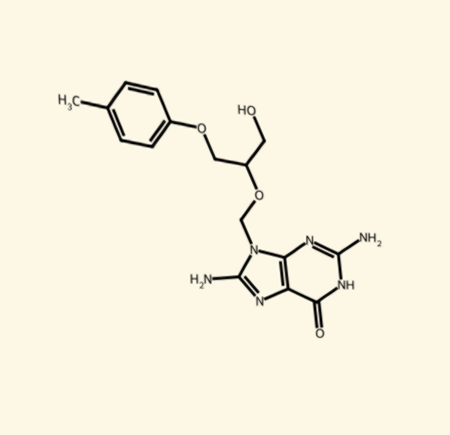 Cc1ccc(OCC(CO)OCn2c(N)nc3c(=O)[nH]c(N)nc32)cc1